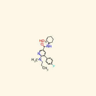 CCCN(C)c1ncc(C(=O)N[C@@H]2CCCC[C@H]2O)cc1-c1ccc(F)cc1